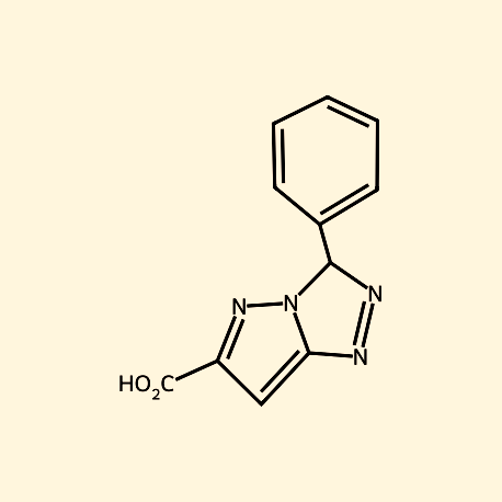 O=C(O)c1cc2n(n1)C(c1ccccc1)N=N2